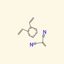 C=C(C#N)C#N.C=Cc1ccccc1C=C